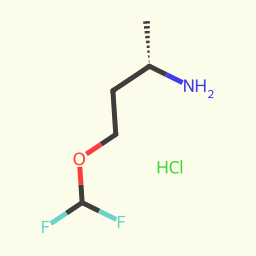 C[C@H](N)CCOC(F)F.Cl